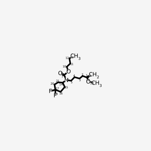 C=C(CCCCN(C(=O)OCCCC)C1CCC(F)(F)CC1)OC